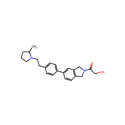 CC1CCCN1CCc1ccc(-c2ccc3c(c2)CN(C(=O)CO)C3)cc1